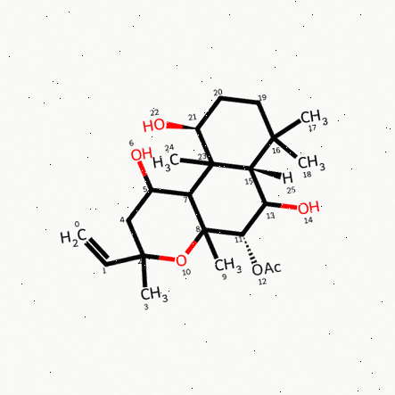 C=CC1(C)CC(O)C2C(C)(O1)[C@@H](OC(C)=O)C(O)[C@H]1C(C)(C)CC[C@H](O)C21C